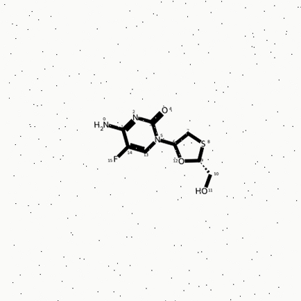 Nc1nc(=O)n(C2CS[C@H](CO)O2)cc1F